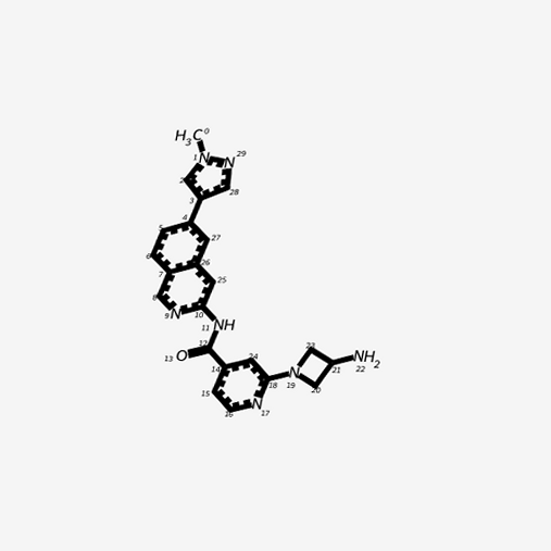 Cn1cc(-c2ccc3cnc(NC(=O)c4ccnc(N5CC(N)C5)c4)cc3c2)cn1